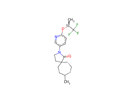 CC1CCCC2(CC1)CCN(c1ccc(O[C@@H](C)C(F)(F)F)nc1)C2=O